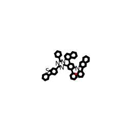 c1ccc(-c2nc(-c3ccc4c(c3)sc3ccccc34)nc(-c3cc(-c4ccccc4)c(-n4c5ccccc5c5cc6ccccc6cc54)cc3-c3cccc4ccccc34)n2)cc1